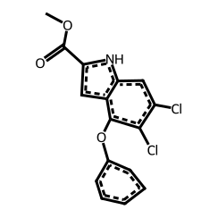 COC(=O)c1cc2c(Oc3ccccc3)c(Cl)c(Cl)cc2[nH]1